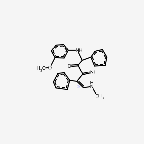 CN/C=C(\C(=N)C(=O)C(Nc1cccc(OC)c1)c1ccccc1)c1ccccc1